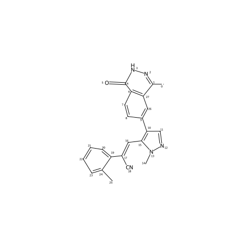 [CH2]c1n[nH]c(=O)c2ccc(-c3cnn(C)c3C=C(C#N)c3ccccc3C)cc12